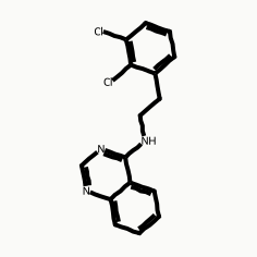 Clc1cccc(CCNc2ncnc3ccccc23)c1Cl